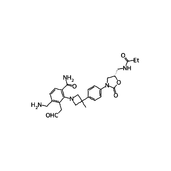 CCC(=O)NC[C@H]1CN(c2ccc(C3(C)CN(c4c(C(N)=O)ccc(CN)c4CC=O)C3)cc2)C(=O)O1